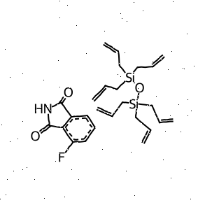 C=CC[Si](CC=C)(CC=C)O[Si](CC=C)(CC=C)CC=C.O=C1NC(=O)c2c(F)cccc21